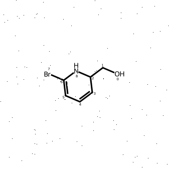 OCC1C=CC=C(Br)N1